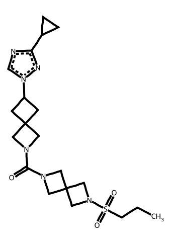 CCCS(=O)(=O)N1CC2(CN(C(=O)N3CC4(CC(n5cnc(C6CC6)n5)C4)C3)C2)C1